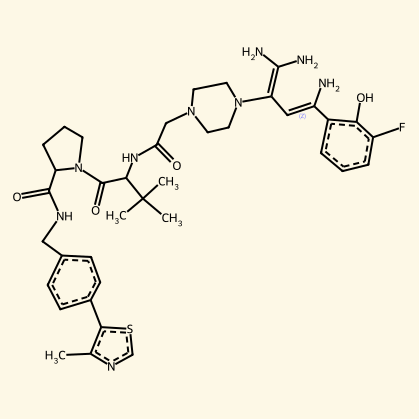 Cc1ncsc1-c1ccc(CNC(=O)C2CCCN2C(=O)C(NC(=O)CN2CCN(C(/C=C(\N)c3cccc(F)c3O)=C(N)N)CC2)C(C)(C)C)cc1